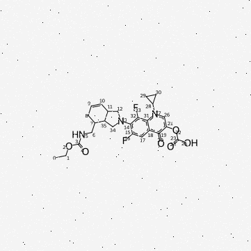 CCOC(=O)NCC1CC=CC2CN(c3c(F)cc4c(=O)c(OC(=O)O)cn(C5CC5)c4c3F)CC21